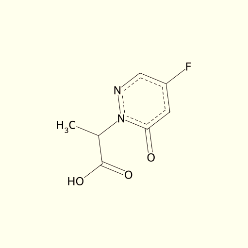 CC(C(=O)O)n1ncc(F)cc1=O